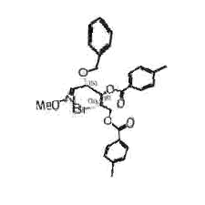 CON=C[C@H](OCc1ccccc1)[C@@H](OC(=O)c1ccc(C)cc1)[C@@H](Br)COC(=O)c1ccc(C)cc1